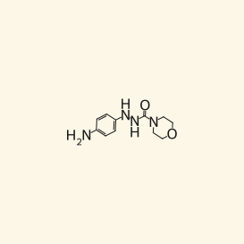 Nc1ccc(NNC(=O)N2CCOCC2)cc1